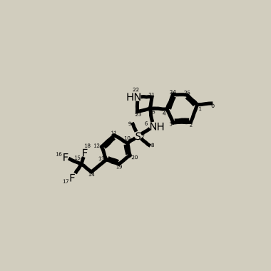 Cc1ccc(C2(NS(C)(C)c3ccc(CC(F)(F)F)cc3)CNC2)cc1